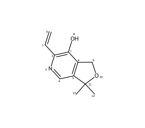 C=Cc1ncc2c(c1O)COC2(C)C